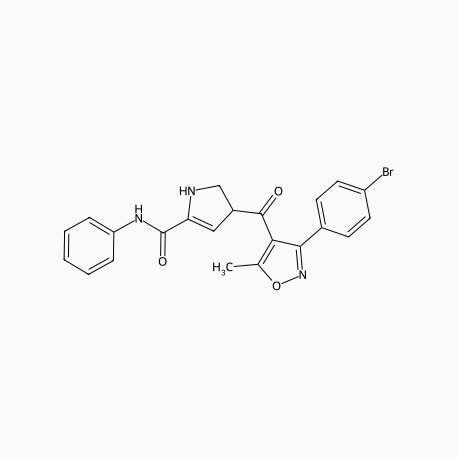 Cc1onc(-c2ccc(Br)cc2)c1C(=O)C1C=C(C(=O)Nc2ccccc2)NC1